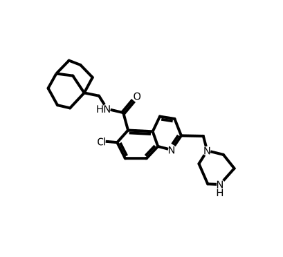 O=C(NCC12CCCC(CCC1)C2)c1c(Cl)ccc2nc(CN3CCNCC3)ccc12